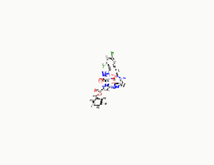 CCC(NC(=O)Cc1cc(F)cc(F)c1)C(=O)Nc1cc(C(=O)OCc2ccccc2)nn1CC(N)=O